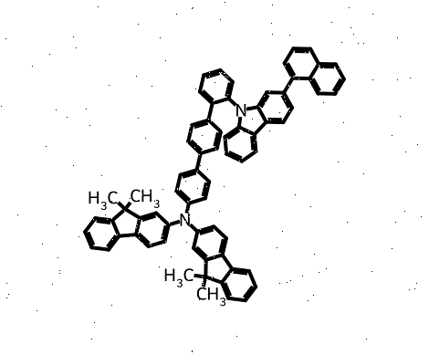 CC1(C)c2ccccc2-c2ccc(N(c3ccc(-c4ccc(-c5ccccc5-n5c6ccccc6c6ccc(-c7cccc8ccccc78)cc65)cc4)cc3)c3ccc4c(c3)C(C)(C)c3ccccc3-4)cc21